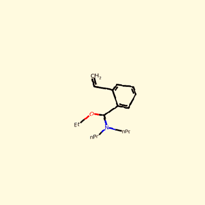 C=Cc1ccccc1C(OCC)N(CCC)CCC